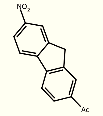 CC(=O)c1ccc2c(c1)Cc1cc([N+](=O)[O-])ccc1-2